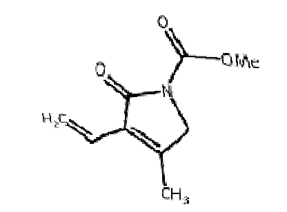 C=CC1=C(C)CN(C(=O)OC)C1=O